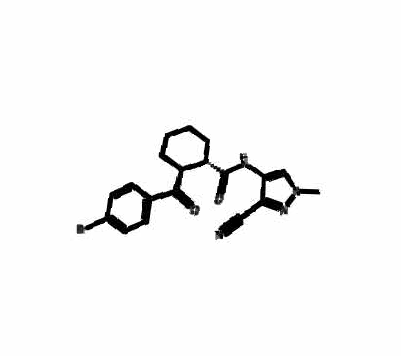 Cn1cc(NC(=O)[C@H]2CCCC[C@@H]2C(=O)c2ccc(Br)cc2)c(C#N)n1